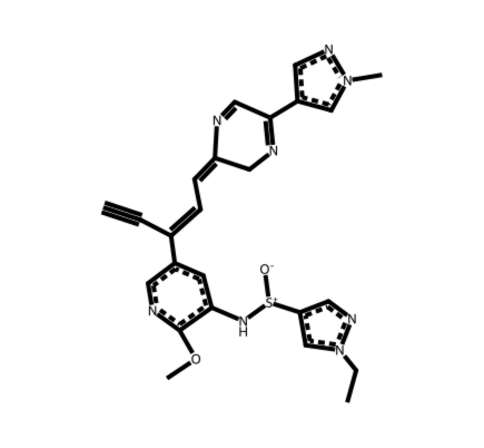 C#C/C(=C\C=C1/CN=C(c2cnn(C)c2)C=N1)c1cnc(OC)c(N[S+]([O-])c2cnn(CC)c2)c1